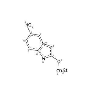 CCOC(=O)Oc1cn2cc([N+](=O)[O-])ccc2n1